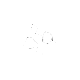 CC(C)CC(=N[S@](=O)O)C1(c2ccc(Cl)cc2)CCC1